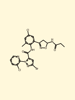 CCC(=O)NC1CC(c2cc(Cl)cc(C)c2NC(=O)c2cc(Br)nn2-c2ncccc2Cl)=NO1